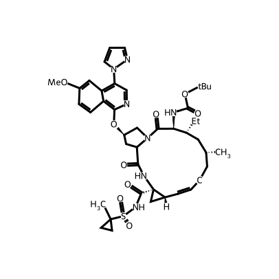 CC[C@@H]1C[C@H](C)CC/C=C\[C@@H]2C[C@@]2(C(=O)NS(=O)(=O)C2(C)CC2)NC(=O)C2C[C@@H](Oc3ncc(-n4cccn4)c4cc(OC)ccc34)CN2C(=O)[C@H]1NC(=O)OC(C)(C)C